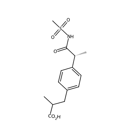 CC(Cc1ccc([C@@H](C)C(=O)NS(C)(=O)=O)cc1)C(=O)O